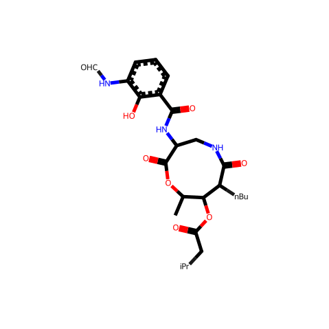 CCCCC1C(=O)NCC(NC(=O)c2cccc(NC=O)c2O)C(=O)OC(C)C1OC(=O)CC(C)C